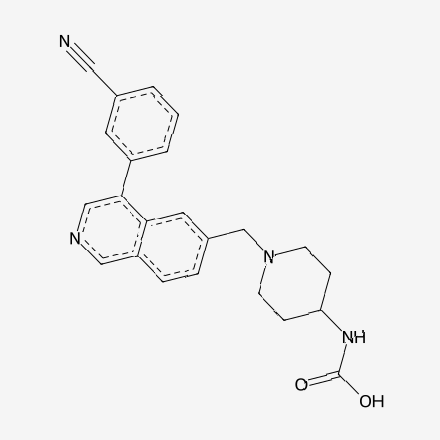 N#Cc1cccc(-c2cncc3ccc(CN4CCC(NC(=O)O)CC4)cc23)c1